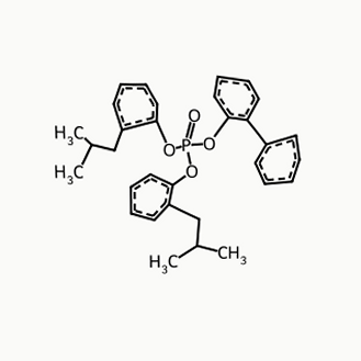 CC(C)Cc1ccccc1OP(=O)(Oc1ccccc1CC(C)C)Oc1ccccc1-c1ccccc1